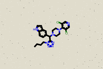 CCCCn1nnnc1C(c1ccc2[nH]ccc2c1)N1CCN(c2c(Cl)cncc2Cl)CC1